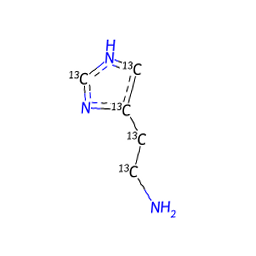 N[13CH2][13CH2][13c]1[13cH][nH][13cH]n1